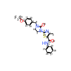 Cc1nc(N2CCN(Cc3ccc(OC(F)(F)F)cc3)C2=O)sc1C(=O)Nc1ccccc1